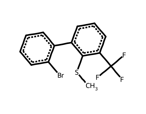 CSc1c(-c2ccccc2Br)cccc1C(F)(F)F